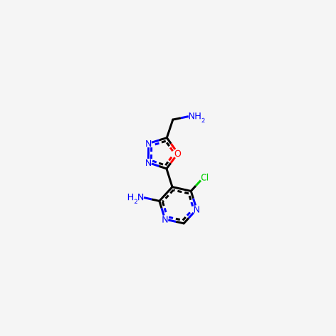 NCc1nnc(-c2c(N)ncnc2Cl)o1